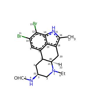 CCN1C[C@@H](NC=O)CC2c3cc(Br)c(Br)c4[nH]c(C)c(c34)C[C@H]21